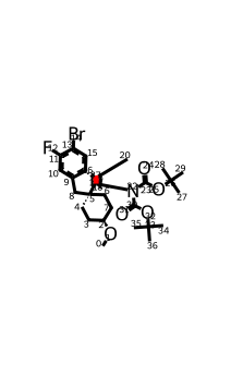 CO[C@H]1CC[C@]2(CC1)Cc1cc(F)c(Br)cc1[C@]21N=C(C)C(N(C(=O)OC(C)(C)C)C(=O)OC(C)(C)C)=N1